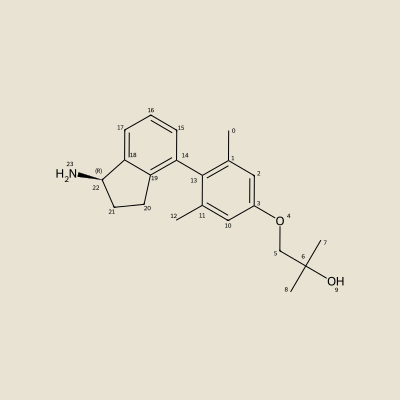 Cc1cc(OCC(C)(C)O)cc(C)c1-c1cccc2c1CC[C@H]2N